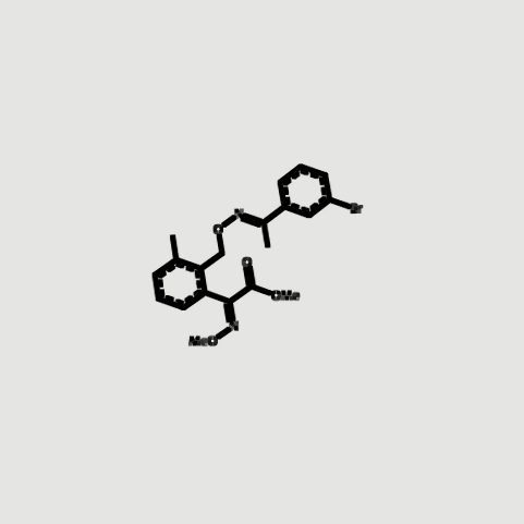 CO/N=C(/C(=O)OC)c1cccc(C)c1CO/N=C(\C)c1cccc(Br)c1